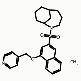 O=S(=O)(c1cc(OCc2ccncc2)c2ccccc2c1)N1CCCC2CCCC1C2.[CH2]